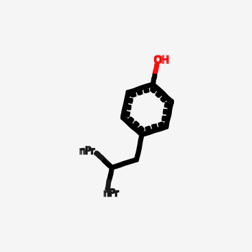 CCCC(CCC)Cc1ccc(O)cc1